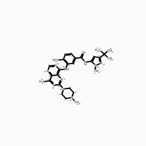 Cc1ccc(C(=O)Nc2cc(C(C)(C)C)nn2C)cc1Nc1ncnc2c(N)nc(N3CCN(C)CC3)nc12